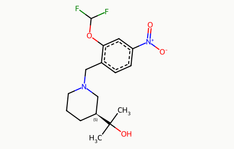 CC(C)(O)[C@H]1CCCN(Cc2ccc([N+](=O)[O-])cc2OC(F)F)C1